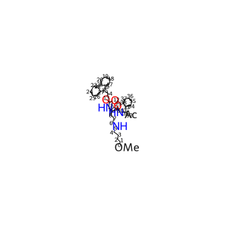 COCCCCNCCCC(NC(=O)OCC1c2ccccc2-c2ccccc21)C(=O)NC(C(C)=O)c1ccccc1